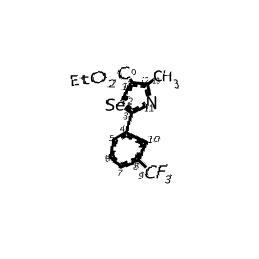 CCOC(=O)c1[se]c(-c2cccc(C(F)(F)F)c2)nc1C